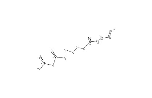 CC(=O)CC(=O)CCCCCNOOC=O